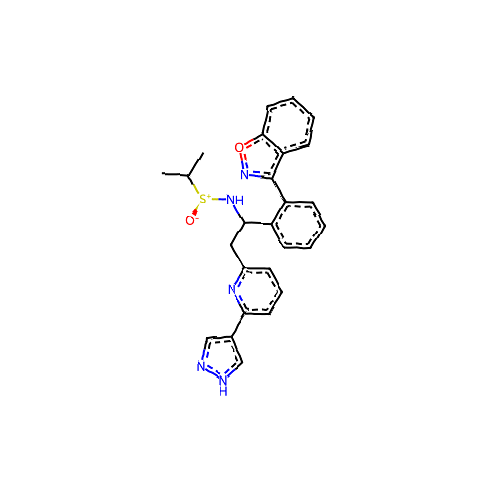 CC(C)[S@+]([O-])NC(Cc1cccc(-c2cn[nH]c2)n1)c1ccccc1-c1noc2ccccc12